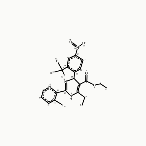 CCOC(=O)C1=C(CC)NC(c2ncccc2F)=NC1c1ccc([N+](=O)[O-])cc1C(F)(F)F